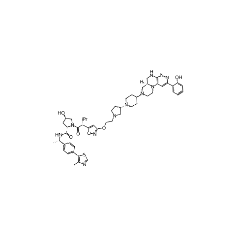 Cc1ncsc1-c1ccc([C@H](C)NC(=O)[C@@H]2C[C@@H](O)CN2C(=O)[C@@H](c2cc(OCCN3CC[C@H](N4CCC(N5CCN6c7cc(-c8ccccc8O)nnc7NC[C@@H]6C5)CC4)C3)no2)C(C)C)cc1